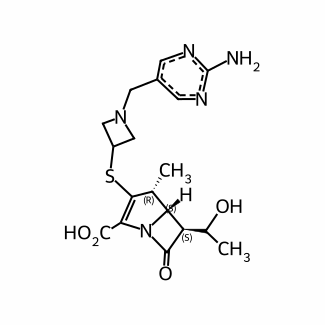 CC(O)[C@H]1C(=O)N2C(C(=O)O)=C(SC3CN(Cc4cnc(N)nc4)C3)[C@H](C)[C@H]12